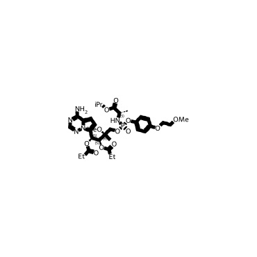 CCC(=O)O[C@@H](c1ccc2c(N)ncnn12)[C@H](OC(=O)CC)[C@@](C)(COP(=O)(N[C@@H](C)C(=O)OC(C)C)Oc1ccc(OCCOC)cc1)OC